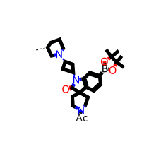 CC(=O)N1CCC2(CC1)C(=O)N([C@H]1C[C@@H](N3CCC[C@@H](C)C3)C1)c1cc(B3OC(C)(C)C(C)(C)O3)ccc12